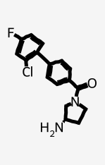 N[C@@H]1CCN(C(=O)c2ccc(-c3ccc(F)cc3Cl)cc2)C1